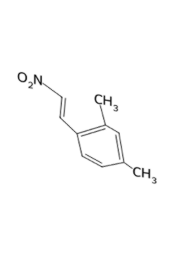 Cc1ccc(C=C[N+](=O)[O-])c(C)c1